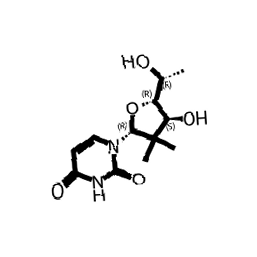 C[C@@H](O)[C@H]1O[C@@H](n2ccc(=O)[nH]c2=O)C(C)(C)[C@@H]1O